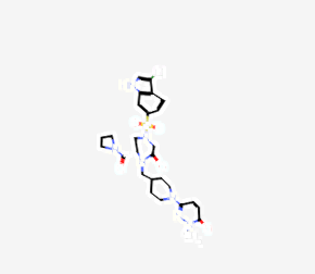 Cn1nc(N2CCC(CN3C(=O)CN(S(=O)(=O)c4ccc5c(Cl)c[nH]c5c4)C[C@H]3C(=O)N3CCC3)CC2)ccc1=O